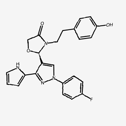 O=C1CO[C@H](c2cn(-c3ccc(F)cc3)nc2-c2ccc[nH]2)N1CCc1ccc(O)cc1